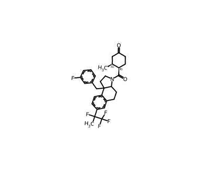 C[C@H]1CC(=O)CC[C@H]1C(=O)N1CCC2(Cc3cccc(F)c3)c3ccc(C(C)(F)C(F)(F)F)cc3CCC12